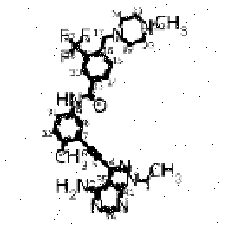 CCn1nc(C#Cc2cc(NC(=O)c3ccc(CN4CCN(C)CC4)c(C(F)(F)F)c3)ccc2C)c2c(N)ncnc21